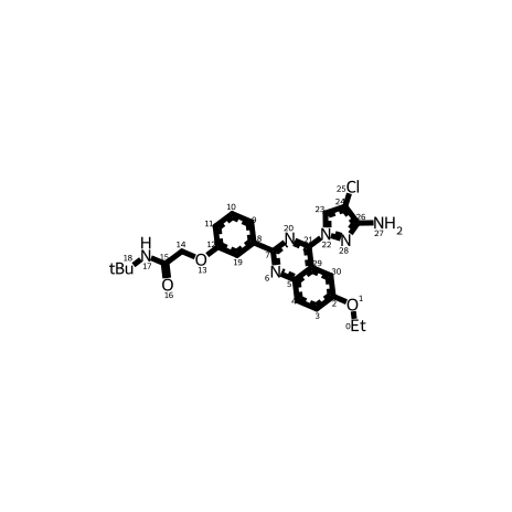 CCOc1ccc2nc(-c3cccc(OCC(=O)NC(C)(C)C)c3)nc(-n3cc(Cl)c(N)n3)c2c1